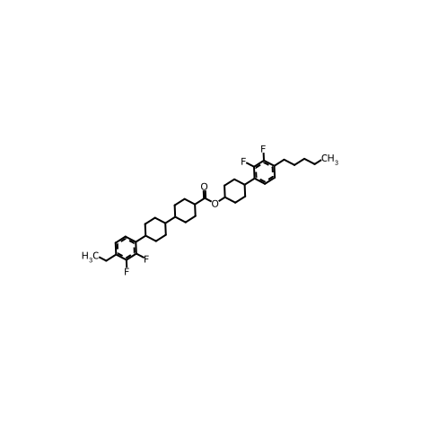 CCCCCc1ccc(C2CCC(OC(=O)C3CCC(C4CCC(c5ccc(CC)c(F)c5F)CC4)CC3)CC2)c(F)c1F